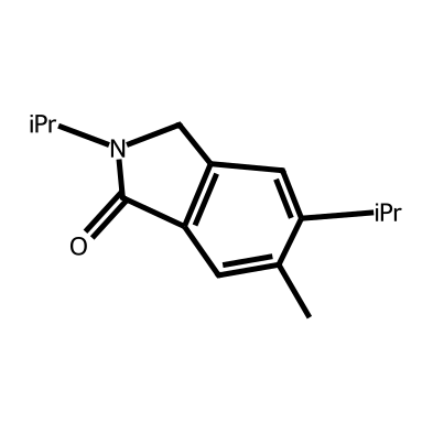 Cc1cc2c(cc1C(C)C)CN(C(C)C)C2=O